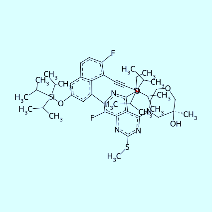 CCOc1nc(-c2cc(O[Si](C(C)C)(C(C)C)C(C)C)cc3ccc(F)c(C#C[Si](C(C)C)(C(C)C)C(C)C)c23)c(F)c2nc(SC)nc(N3CCOC[C@@](C)(O)C3)c12